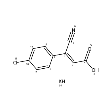 N#CC(=CC(=O)O)c1ccc(Cl)cc1.[KH]